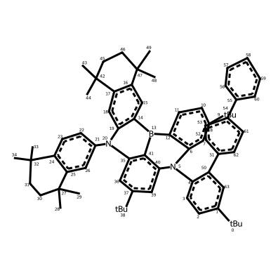 CC(C)(C)c1ccc(N2c3cc(C(C)(C)C)ccc3B3c4cc5c(cc4N(c4ccc6c(c4)C(C)(C)CCC6(C)C)c4cc(C(C)(C)C)cc2c43)C(C)(C)CCC5(C)C)c(-c2ccc(-c3ccccc3)cc2)c1